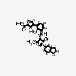 CC1=NN(c2ccc3c(c2)CCC3)C(=O)/C1=N\Nc1cccc(C2=CC(C(=O)O)N=C2)c1O